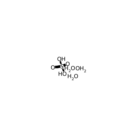 O.O.O.O=S(=O)(O)O